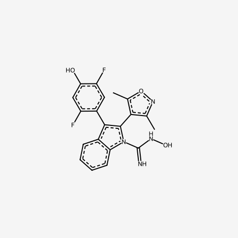 Cc1noc(C)c1-c1c(-c2cc(F)c(O)cc2F)c2ccccc2n1C(=N)NO